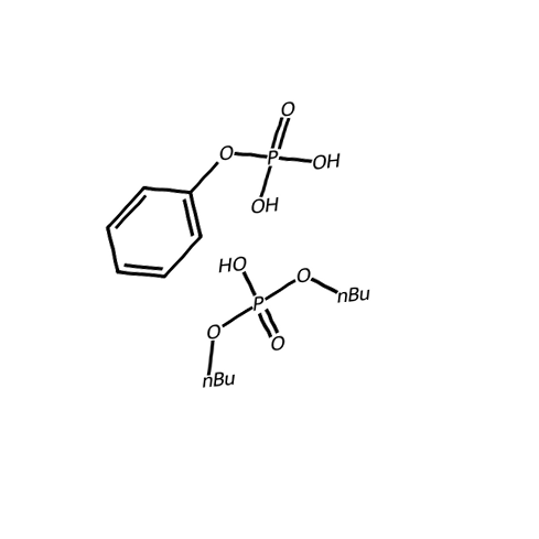 CCCCOP(=O)(O)OCCCC.O=P(O)(O)Oc1ccccc1